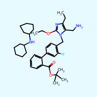 C1CCC(NC2CCCCC2)CC1.CCOc1nc(CC)c(CN)n1Cc1ccc(-c2ccccc2C(=O)OC(C)(C)C)cc1F